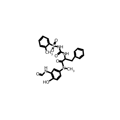 Cc1ccccc1S(=O)(=O)NC(=O)NC(Cc1ccccc1)C(=O)N(C)c1ccc(O)c(NC=O)c1